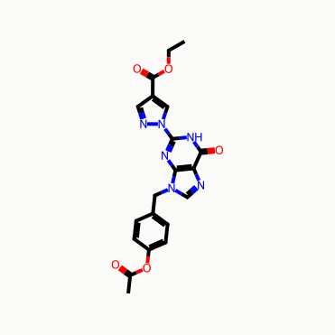 CCOC(=O)c1cnn(-c2nc3c(ncn3Cc3ccc(OC(C)=O)cc3)c(=O)[nH]2)c1